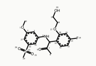 COc1cc(NC(C(C)=O)c2ccc(F)cc2OCCO)cc(S(C)(=O)=O)c1